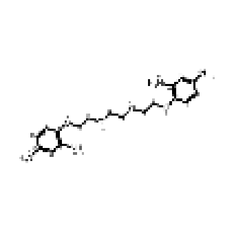 Nc1ccc(OCCOCCOCCOc2ccc(N)cc2N)c(N)c1